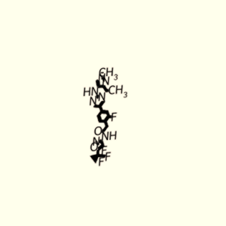 CCc1nn(C)cc1Nc1ncc(-c2ccc(CC(=O)Nc3cc(C4(C(F)(F)F)CC4)on3)c(F)c2)cn1